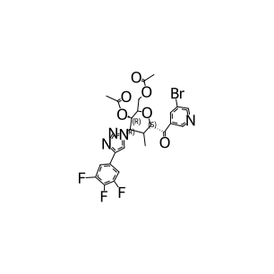 CC(=O)OCC1O[C@H](C(=O)c2cncc(Br)c2)C(C)[C@@H](n2cc(-c3cc(F)c(F)c(F)c3)nn2)[C@H]1OC(C)=O